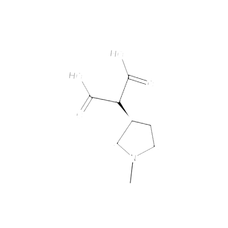 CN1CC[C@H](C(C(=O)O)C(=O)O)C1